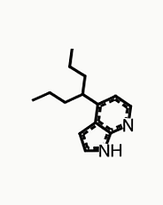 CCCC(CCC)c1ccnc2[nH]ccc12